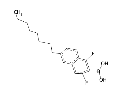 CCCCCCCCc1ccc2c(F)c(B(O)O)c(F)cc2c1